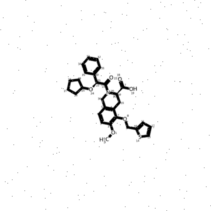 COc1ccc2c(c1OCc1cccs1)C[C@H](C(=O)O)N(C(=O)[C@@H](OC1CCCC1)c1ccccc1)C2